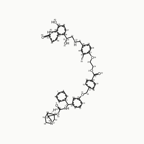 O=C(NC(c1ccccc1)c1cccc(OCc2ccc(C(=O)OCCOc3ccc(CNC[C@@H](O)c4ccc(O)c5[nH]c(=O)ccc45)cc3F)cc2)c1)O[C@H]1CN2CCC1CC2